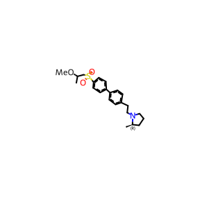 COC(C)CS(=O)(=O)c1ccc(-c2ccc(CCN3CCC[C@H]3C)cc2)cc1